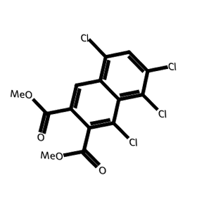 COC(=O)c1cc2c(Cl)cc(Cl)c(Cl)c2c(Cl)c1C(=O)OC